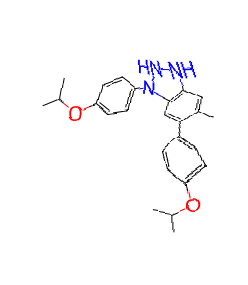 Cc1cc2c(cc1-c1ccc(OC(C)C)cc1)N(c1ccc(OC(C)C)cc1)NN2